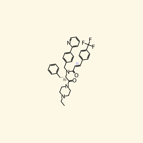 CCN1CCN(C(=O)[C@H](Cc2ccccc2)N(Cc2ccc(-c3ccccn3)cc2)C(=O)/C=C/c2ccc(C(F)(F)F)cc2)CC1